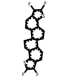 Fc1sc2c(ccc3c4ccc5c(ccc6c(F)c(F)sc65)c4ccc32)c1F